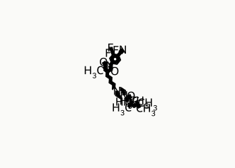 CC1=C(CCCCCN2CCN(C(=O)NC(C)(C)CC(C)(C)C)CC2)C(=O)N(c2ccc(C#N)c(C(F)(F)F)c2)C1=O